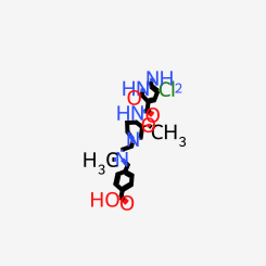 CO[C@H]1CN(CCN(C)Cc2ccc(C(=O)O)cc2)CC[C@H]1NC(=O)c1cc(Cl)c(N)[nH]c1=O